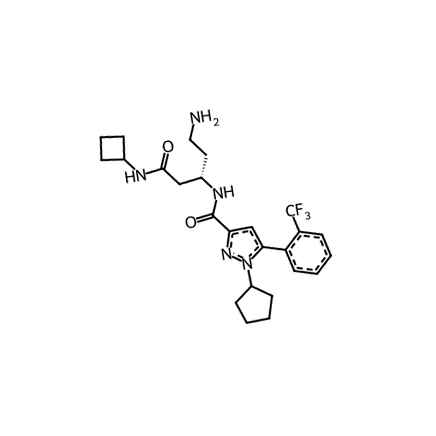 NCC[C@@H](CC(=O)NC1CCC1)NC(=O)c1cc(-c2ccccc2C(F)(F)F)n(C2CCCC2)n1